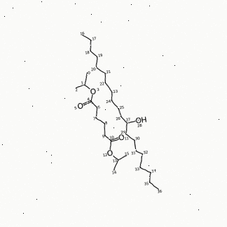 CC(C)OC(=O)CCCCC(=O)OC(C)C.CCCCCCCCCCCC(O)CCCCCCCC